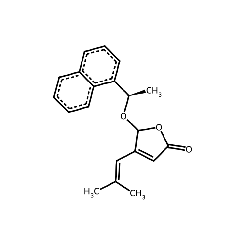 CC(C)=CC1=CC(=O)OC1O[C@H](C)c1cccc2ccccc12